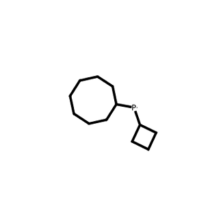 C1CCCC([P]C2CCC2)CCC1